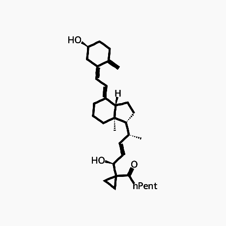 C=C1CC[C@H](O)C/C1=C/C=C1\CCC[C@]2(C)[C@@H]([C@H](C)/C=C/[C@H](O)C3(C(=O)CCCCC)CC3)CC[C@@H]12